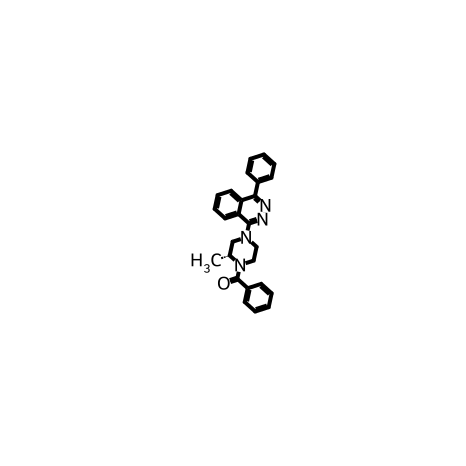 C[C@@H]1CN(c2nnc(-c3ccccc3)c3ccccc23)CCN1C(=O)c1ccccc1